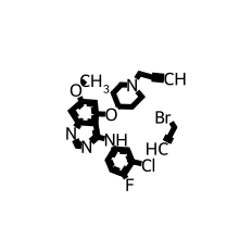 C#CCBr.C#CCN1CCC(Oc2cc(OC)cc3ncnc(Nc4ccc(F)c(Cl)c4)c23)CC1